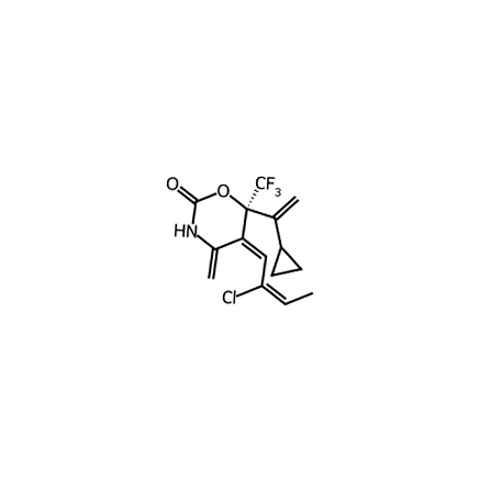 C=C1NC(=O)O[C@](C(=C)C2CC2)(C(F)(F)F)/C1=C/C(Cl)=C\C